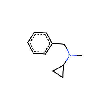 CN(Cc1ccccc1)C1CC1